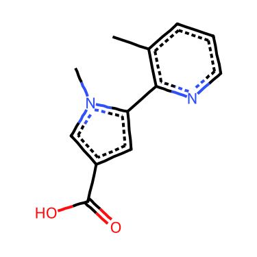 Cc1cccnc1-c1cc(C(=O)O)cn1C